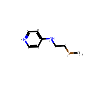 CSCCNc1ccncc1